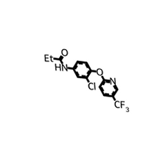 CCC(=O)Nc1ccc(Oc2ccc(C(F)(F)F)cn2)c(Cl)c1